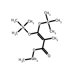 C[SiH2]OC(=O)C(C)=C(O[Si](C)(C)C)O[Si](C)(C)C